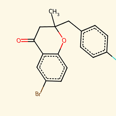 CC1(Cc2ccc(F)cc2)CC(=O)c2cc(Br)ccc2O1